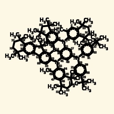 Cc1cc2c(cc1N1c3cc4c(cc3B3c5c1cc(N(c1ccc(C(C)(C)C)cc1)c1ccc(C(C)(C)C)cc1)cc5N(c1cc5c(cc1C)C(C)(C)CCC5(C)C)c1ccc5c(c13)C(C)(C)c1cc3c(cc1-5)C(C)(C)CCC3(C)C)C(C)(C)CC4(C)C)C(C)(C)CCC2(C)C